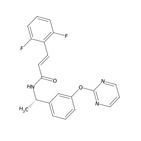 C[C@H](NC(=O)C=Cc1c(F)cccc1F)c1cccc(Oc2ncccn2)c1